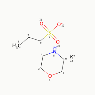 C1COCCN1.CCCS(=O)(=O)[O-].[K+]